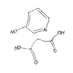 O=C(O)CC(=O)O.Oc1cccnc1